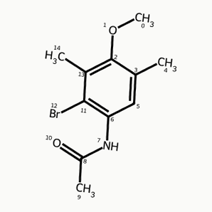 COc1c(C)cc(NC(C)=O)c(Br)c1C